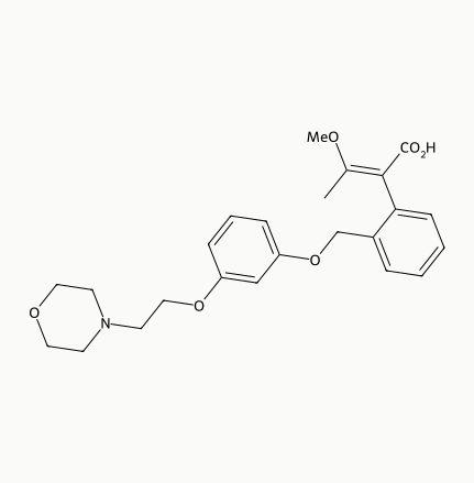 COC(C)=C(C(=O)O)c1ccccc1COc1cccc(OCCN2CCOCC2)c1